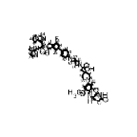 COc1cc(N2CCC(O)(CC(=O)N3CC4(C3)CN(c3ccc(-c5cc(F)c6c(c5)C(=O)N(C(C(=O)Nc5nccs5)c5ncn7c5CCC7)C6)cc3)C4)CC2)c(F)cc1NC1CCC(=O)NC1=O